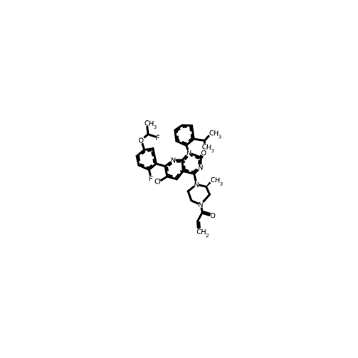 C=CC(=O)N1CCN(c2nc(=O)n(-c3ccccc3C(C)C)c3nc(-c4cc(OC(C)F)ccc4F)c(Cl)cc23)[C@@H](C)C1